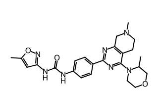 Cc1cc(NC(=O)Nc2ccc(-c3nc4c(c(N5CCOCC5C)n3)CCN(C)C4)cc2)no1